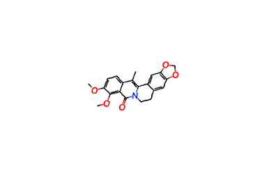 COc1ccc2c(C)c3n(c(=O)c2c1OC)CCc1cc2c(cc1-3)OCO2